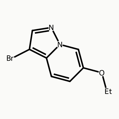 CCOc1ccc2c(Br)cnn2c1